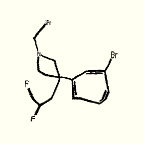 C[C](C)CN1CC(CC(F)F)(c2cccc(Br)c2)C1